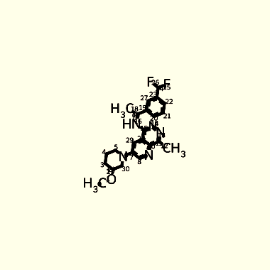 CO[C@H]1CCCN(c2cnc3c(C)nnc(N[C@H](C)c4cccc(C(F)F)c4)c3c2)C1